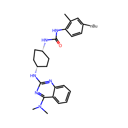 CCCCc1ccc(NC(=O)N[C@H]2CC[C@@H](Nc3nc(N(C)C)c4ccccc4n3)CC2)c(C)c1